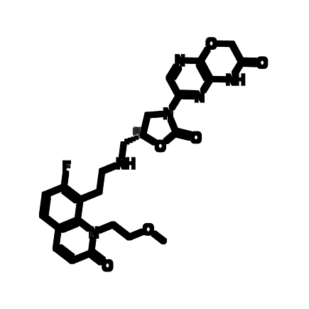 COCCn1c(=O)ccc2ccc(F)c(CCNC[C@@H]3CN(c4cnc5c(n4)NC(=O)CO5)C(=O)O3)c21